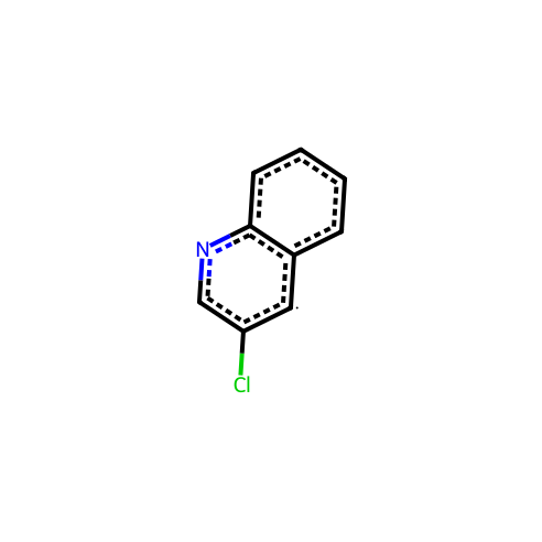 Clc1[c]c2ccccc2nc1